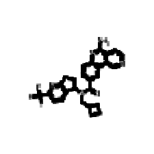 Nc1nc2ccc(C(=O)N(CC3CCC3)C3CCc4nc(C(F)(F)F)ccc43)cc2c2cnccc12